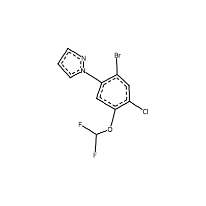 FC(F)Oc1cc(-n2cccn2)c(Br)cc1Cl